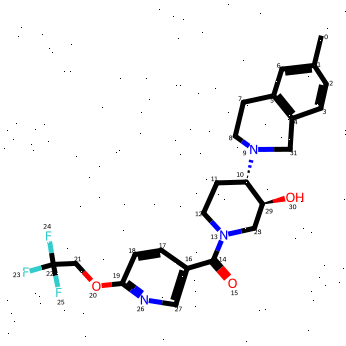 Cc1ccc2c(c1)CCN([C@H]1CCN(C(=O)c3ccc(OCC(F)(F)F)nc3)C[C@@H]1O)C2